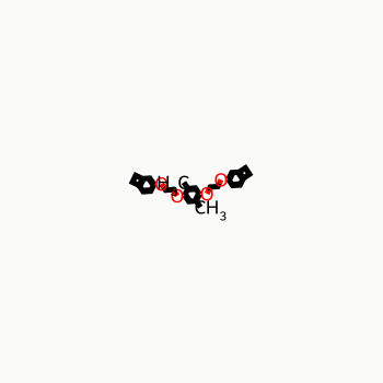 Cc1cc(OCCOc2ccc3c(c2)CC3)c(C)cc1OCCOc1ccc2c(c1)CC2